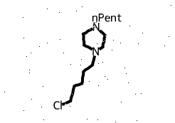 CCCCCN1CCN(CCCCCCl)CC1